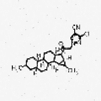 C[C@H]1CC[C@H]2[C@H](CC[C@H]3C4[C@@H]5[C@H](C)[C@@H]5[C@H](C(=O)Cn5cc(C#N)c(Cl)n5)[C@@]4(C)CC[C@H]23)C1